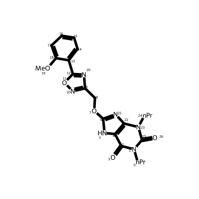 CCCn1c(=O)c2[nH]c(OCc3noc(-c4ccccc4OC)n3)nc2n(CCC)c1=O